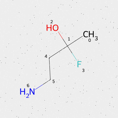 CC(O)(F)CCN